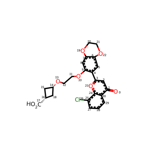 O=c1cc(-c2cc3c(cc2OCCO[C@H]2C[C@@H](C(=O)O)C2)OCCO3)oc2c(Cl)cccc12